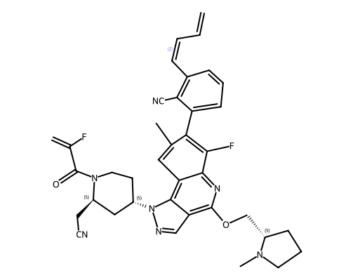 C=C/C=C\c1cccc(-c2c(C)cc3c(nc(OC[C@@H]4CCCN4C)c4cnn([C@H]5CCN(C(=O)C(=C)F)[C@H](CC#N)C5)c43)c2F)c1C#N